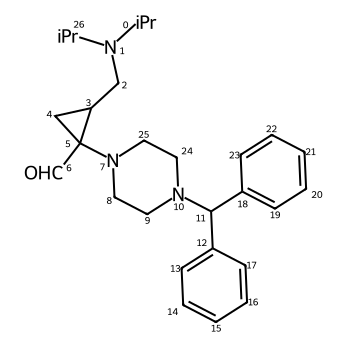 CC(C)N(CC1CC1(C=O)N1CCN(C(c2ccccc2)c2ccccc2)CC1)C(C)C